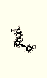 O=C1NC(=S)S/C1=C/c1cc2cncc(C#Cc3cccc(Cl)c3)c2o1